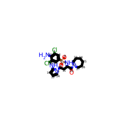 Nc1c(Cl)cc(S(=O)(=O)NC(CCn2cccc2N)C(=O)N2CCCCCC2)cc1Cl